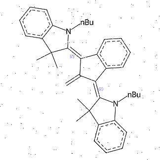 C=C1/C(=C2/N(CCCC)c3ccccc3C2(C)C)c2ccccc2/C1=C1\N(CCCC)c2ccccc2C1(C)C